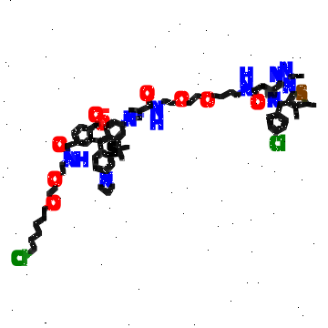 Cc1sc2c(c1C)C(c1ccc(Cl)cc1)=N[C@@H](CC(=O)NCCCCOCCOCCNC(=O)C1C[N+](=C3C=CC4=C(c5cc(C(=O)NCCOCCOCCCCCCCl)ccc5C(=O)[O-])c5ccc(N6CCC6)cc5[Si](C)(C)C4=C3)C1)c1nnc(C)n1-2